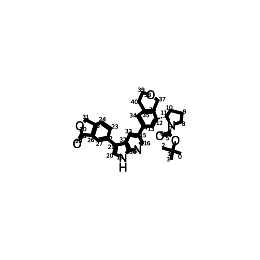 CC(C)(C)OC(=O)N1CCC[C@H]1c1cc(-c2cnc3[nH]cc(-c4ccc5c(c4)C(=O)OC5)c3c2)cc2c1COCC2